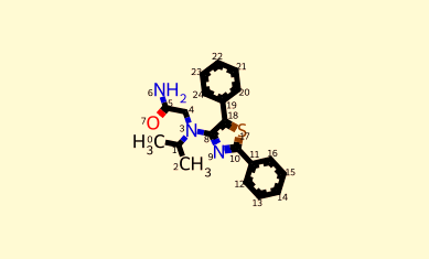 CC(C)N(CC(N)=O)c1nc(-c2ccccc2)sc1-c1ccccc1